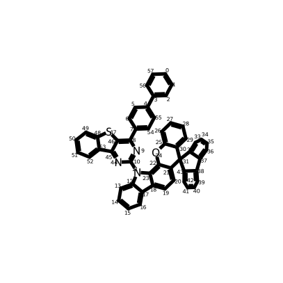 c1ccc(-c2ccc(-c3nc(-n4c5ccccc5c5ccc6c(c54)Oc4ccccc4C64c5ccccc5-c5ccccc54)nc4c3sc3ccccc34)cc2)cc1